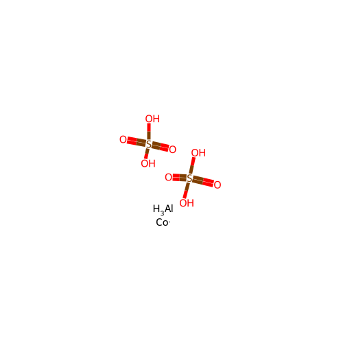 O=S(=O)(O)O.O=S(=O)(O)O.[AlH3].[Co]